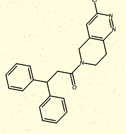 O=C(CC(c1ccccc1)c1ccccc1)N1CCc2nnc(Cl)cc2C1